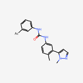 CC(=O)c1cccc(NC(=O)Nc2ccc(C)c(-c3ccnn3C)c2)c1